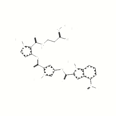 Cl.Cn1cc(NC(=O)c2cc3c([N+](=O)[O-])cccc3n2C)cc1C(=O)Nc1ccn(C)c1C(=O)NCCC(N)=NO